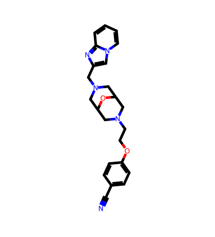 N#Cc1ccc(OCCN2CC3CN(Cc4cn5ccccc5n4)CC(C2)O3)cc1